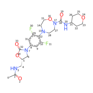 CC(=O)NC[C@H]1CN(c2cc(F)c(N3CCON(C(=O)NC4CCOCC4)CC3)c(F)c2)C(=O)O1